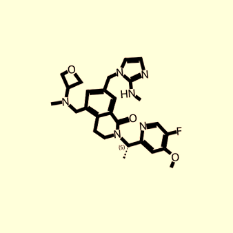 CNc1nccn1Cc1cc(CN(C)C2COC2)c2c(c1)C(=O)N([C@@H](C)c1cc(OC)c(F)cn1)CC2